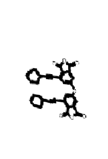 O=C1OC(=O)c2c(C#Cc3ccccc3)cc(Oc3cc(C#Cc4ccccc4)c4c(c3)C(=O)OC4=O)cc21